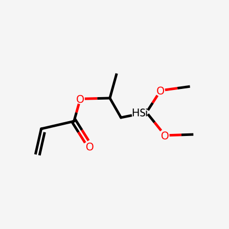 C=CC(=O)OC(C)C[SiH](OC)OC